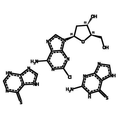 Nc1nc(Cl)nc2c1ncn2[C@H]1C[C@H](O)[C@@H](CO)O1.Nc1nc2nc[nH]c2c(=S)[nH]1.S=c1nc[nH]c2nc[nH]c12